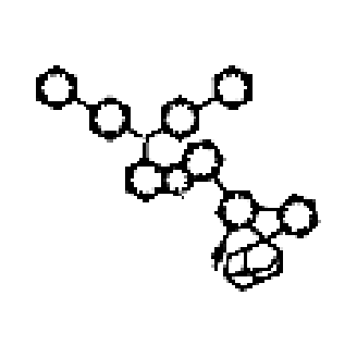 N#Cc1cc(-c2cccc3c2sc2cccc(N(c4ccc(-c5ccccc5)cc4)c4ccc(-c5ccccc5)cc4)c23)cc2c1C1(c3ccccc3-2)C2CC3CC(C2)CC1C3